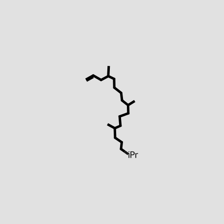 C=CCC(C)CCCCC(C)CCCC(C)CCCC(C)C